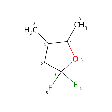 CC1CC(F)(F)OC1C